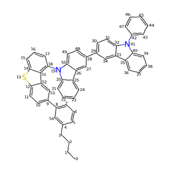 CCCCc1cccc(-c2ccc3sc4cccc(-n5c6ccccc6c6cc(-c7ccc8c(c7)c7ccccc7n8-c7ccccc7)ccc65)c4c3c2)c1